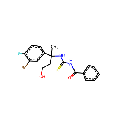 CC(CCO)(NC(=S)NC(=O)c1ccccc1)c1ccc(F)c(Br)c1